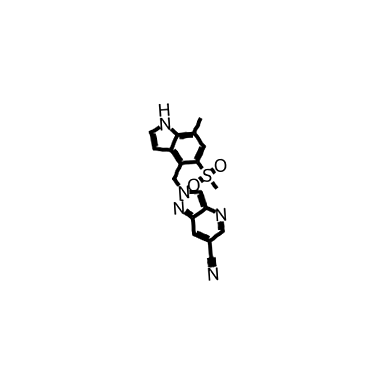 Cc1cc(S(C)(=O)=O)c(Cn2cc3ncc(C#N)cc3n2)c2cc[nH]c12